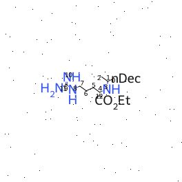 CCCCCCCCCCC(C)N[C@@H](CCCNC(=N)N)C(=O)OCC